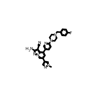 Cn1cc(-c2cc(-c3ccc(N4CCN(Cc5ccc(F)cc5)CC4)nc3)c3c(C#N)c(N)nn3c2)cn1